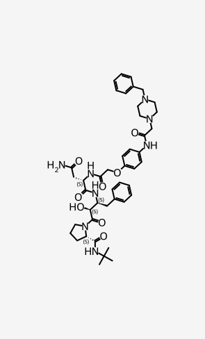 CC(C)(C)NC(=O)[C@@H]1CCCN1C(=O)[C@@H](O)[C@H](Cc1ccccc1)NC(=O)[C@H](CC(N)=O)NC(=O)COc1ccc(NC(=O)CN2CCN(Cc3ccccc3)CC2)cc1